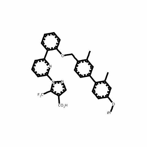 Cc1cc(-c2ccc(OC(C)C)cc2C)ccc1COc1ccccc1-c1cccc(-n2ncc(C(=O)O)c2C(F)(F)F)n1